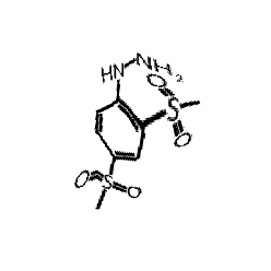 CS(=O)(=O)c1ccc(NN)c(S(C)(=O)=O)c1